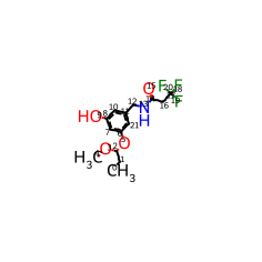 CCC(OC)Oc1cc(O)cc(CNC(=O)CC(F)(F)F)c1